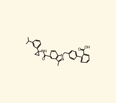 Cc1nn(Cc2ccc(-c3ccccc3C(=O)O)cc2)c2ccc(C(=O)NC3(c4cccc(C(C)C)c4)CC3)cc12